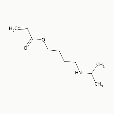 C=CC(=O)OCCCCNC(C)C